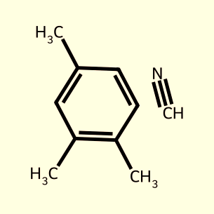 C#N.Cc1ccc(C)c(C)c1